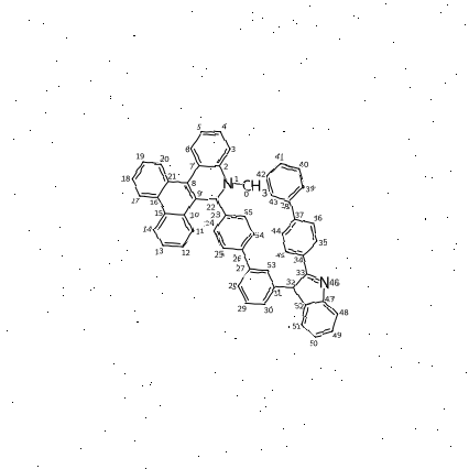 CN1c2ccccc2-c2c(c3ccccc3c3ccccc23)C1c1ccc(-c2cccc(C3C(c4ccc(-c5ccccc5)cc4)=Nc4ccccc43)c2)cc1